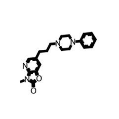 Cn1c(=O)oc2cc(CCCN3CCN(c4ccccc4)CC3)cnc21